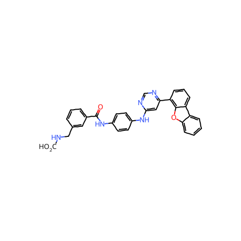 O=C(O)NCc1cccc(C(=O)Nc2ccc(Nc3cc(-c4cccc5c4oc4ccccc45)ncn3)cc2)c1